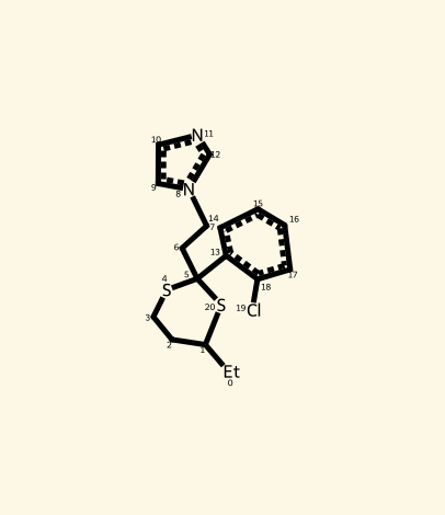 CCC1CCSC(CCn2ccnc2)(c2ccccc2Cl)S1